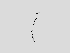 [CH2]C#CCCCCCCSC